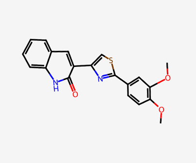 COc1ccc(-c2nc(-c3cc4ccccc4[nH]c3=O)cs2)cc1OC